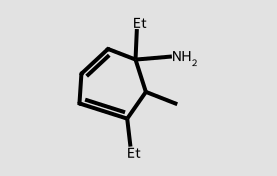 CCC1=CC=CC(N)(CC)C1C